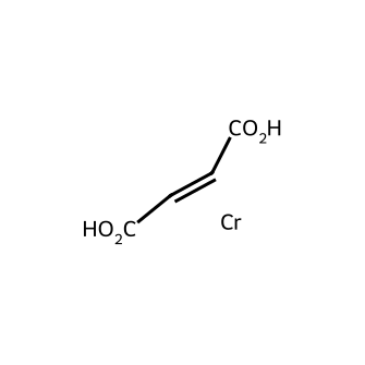 O=C(O)C=CC(=O)O.[Cr]